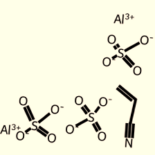 C=CC#N.O=S(=O)([O-])[O-].O=S(=O)([O-])[O-].O=S(=O)([O-])[O-].[Al+3].[Al+3]